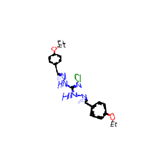 CCOc1ccc(/C=N/NC(=NCl)N/N=C/c2ccc(OCC)cc2)cc1